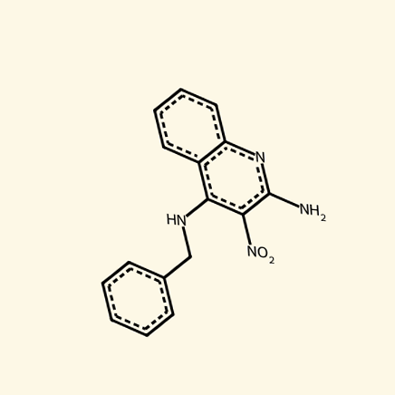 Nc1nc2ccccc2c(NCc2ccccc2)c1[N+](=O)[O-]